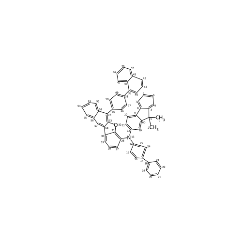 CC1(C)c2ccccc2-c2ccc(N(c3ccc(-c4ccccc4)cc3)c3cccc4c3oc3c(-c5ccc(-c6cccc7ccccc67)cc5)c5ccccc5cc34)cc21